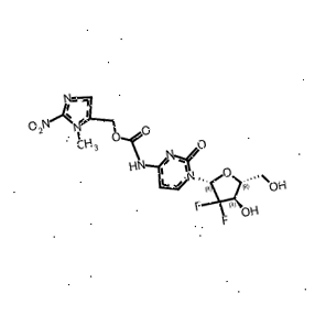 Cn1c(COC(=O)Nc2ccn([C@@H]3O[C@H](CO)[C@@H](O)C3(F)F)c(=O)n2)cnc1[N+](=O)[O-]